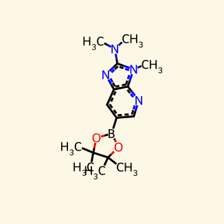 CN(C)c1nc2cc(B3OC(C)(C)C(C)(C)O3)cnc2n1C